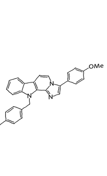 COc1ccc(-c2cnc3c4c(ccn23)c2ccccc2n4Cc2ccc(F)cc2)cc1